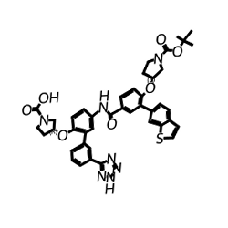 CC(C)(C)OC(=O)N1CC[C@H](Oc2ccc(C(=O)Nc3ccc(O[C@@H]4CCN(C(=O)O)C4)c(-c4cccc(-c5nn[nH]n5)c4)c3)cc2-c2ccc3ccsc3c2)C1